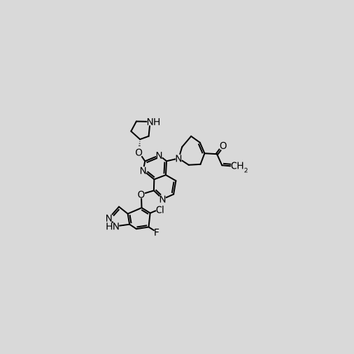 C=CC(=O)C1=CCCN(c2nc(O[C@@H]3CCNC3)nc3c(Oc4c(Cl)c(F)cc5[nH]ncc45)nccc23)CC1